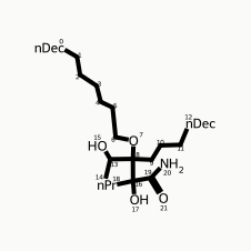 CCCCCCCCCCCCCCCCOC(CCCCCCCCCCCCC)(C(C)O)C(O)(CCC)C(N)=O